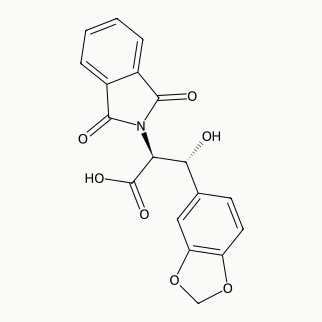 O=C(O)[C@H]([C@H](O)c1ccc2c(c1)OCO2)N1C(=O)c2ccccc2C1=O